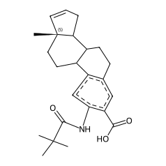 CC(C)(C)C(=O)Nc1cc2c(cc1C(=O)O)CCC1C2CC[C@]2(C)C=CCC12